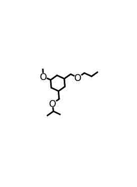 CCCOCC1CC(COC(C)C)CC(OC)C1